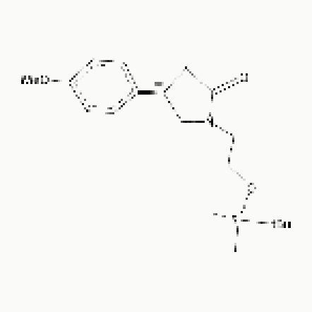 COc1ccc([C@H]2CC(=O)N(CCO[Si](C)(C)C(C)(C)C)C2)cc1